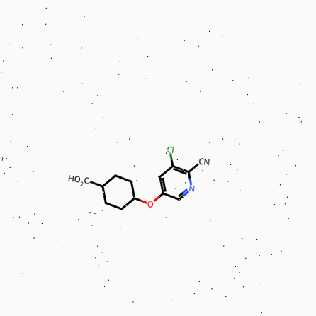 N#Cc1ncc(OC2CCC(C(=O)O)CC2)cc1Cl